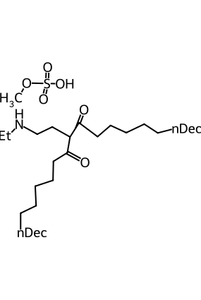 CCCCCCCCCCCCCCCC(=O)C(CCNCC)C(=O)CCCCCCCCCCCCCCC.COS(=O)(=O)O